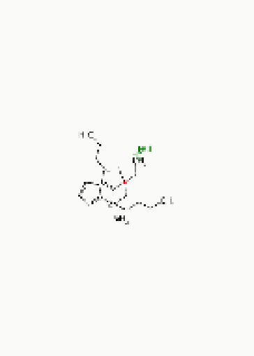 CCC[CH2][Zr](=[SiH2])([CH2]CCC)([C]1=CC=CC1)[C]1=CC(CCC)=CC1.Cl.Cl